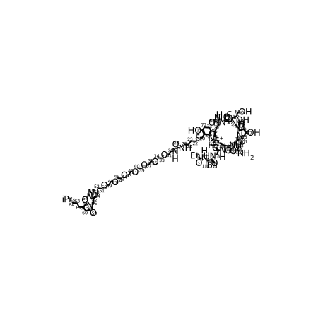 CCC(=O)N[C@H](C(=O)NCC(=O)N[C@H]1C[S+]([O-])c2[nH]c3c(CSCCCCNC(=O)NCCOCCOCCOCCOCCOCCOCCOCCn4cc(CN5C(=O)CC(CCCC(C)C)C5=O)nn4)c(O)ccc3c2C[C@@H](C(N)=O)NC(=O)[C@H]([C@@H](C)[C@@H](O)CO)NC(=O)[C@@H]2C[C@@H](O)CN2C(=O)[C@H](CC(N)=O)NC1=O)[C@@H](C)CC